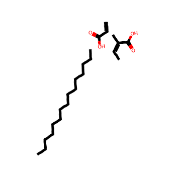 C=CC(=O)O.CC=C(C)C(=O)O.CCCCCCCCCCCCCCC